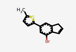 Cc1ccc(-c2cc(Br)c3c(c2)CC=C3)s1